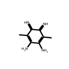 CC1=C(N)C(N)=C(C)C(=N)C1=N